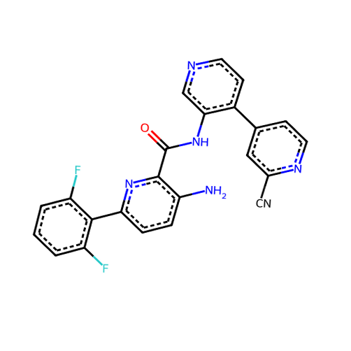 N#Cc1cc(-c2ccncc2NC(=O)c2nc(-c3c(F)cccc3F)ccc2N)ccn1